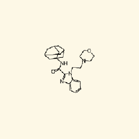 O=C(NC12CC3CC(CC(C3)C1)C2)c1nc2ccccc2n1CCN1CCOCC1